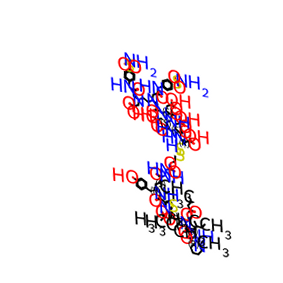 CCCC(=O)OCN(C(=O)[C@@H](NC(=O)[C@H]1CCCCN1C)C(C)CC)[C@H](C[C@@H](OC(C)=O)c1nc(C(=O)N[C@@H](Cc2ccc(O)cc2)C[C@H](C)C(=O)NNC(=O)OCCSSC[C@H](NC(=O)[C@H](CC(=O)O)NC(=O)[C@H](CC(=O)O)NC(=O)[C@H](CC(=O)O)NC(=O)CN(CCN(CC(=O)O)CC(=O)Nc2ccc(S(N)(=O)=O)cc2)CC(=O)Nc2ccc(S(N)(=O)=O)cc2)C(=O)O)cs1)C(C)C